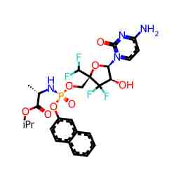 CC(C)OC(=O)[C@H](C)N[P@](=O)(OC[C@@]1(C(F)F)O[C@@H](n2ccc(N)nc2=O)[C@@H](O)C1(F)F)Oc1ccc2ccccc2c1